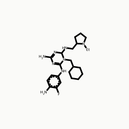 CCN1CCCC1CNC1N=C(N)N=C(Nc2ccc(N)c(F)c2)N1CC1CCCCC1